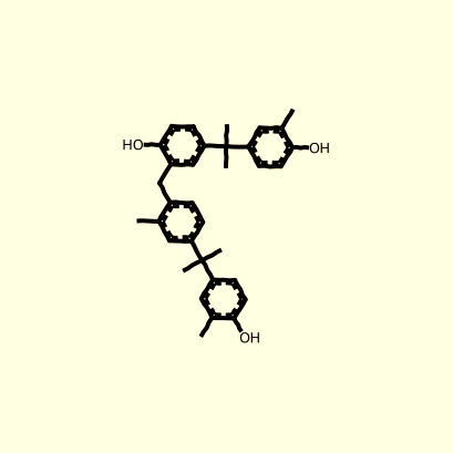 Cc1cc(C(C)(C)c2ccc(Cc3cc(C(C)(C)c4ccc(O)c(C)c4)ccc3O)c(C)c2)ccc1O